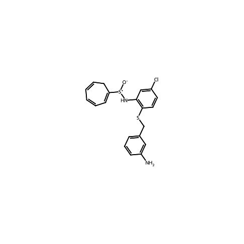 Nc1cccc(CSc2ccc(Cl)cc2N[S+]([O-])C2=CC=CC=CC2)c1